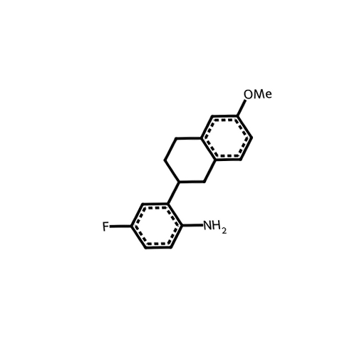 COc1ccc2c(c1)CCC(c1cc(F)ccc1N)C2